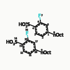 CCCCCCCCc1ccc(S(=O)(=O)O)c(F)c1.CCCCCCCCc1ccc(S(=O)(=O)O)c(F)c1